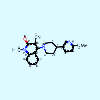 COc1ccc(C2CCN(c3c(C#N)c(=O)n(C)c4ccccc34)CC2)cn1